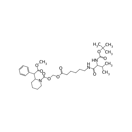 COC(=O)C(c1ccccc1)C1CCCCN1C(=O)OCOC(=O)CCCCCNC(=O)C(NC(=O)OC(C)(C)C)C(C)C